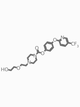 O=C(Oc1ccc(Oc2ccc(C(F)(F)F)cn2)cc1)N1CCN(CCOCCO)CC1